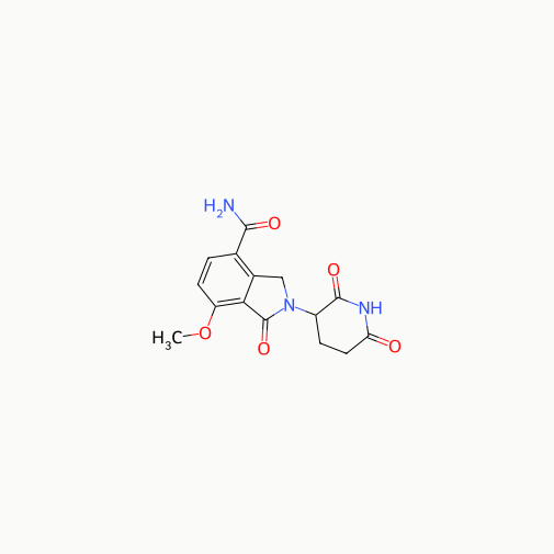 COc1ccc(C(N)=O)c2c1C(=O)N(C1CCC(=O)NC1=O)C2